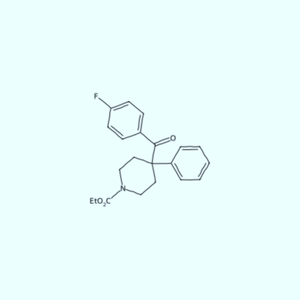 CCOC(=O)N1CCC(C(=O)c2ccc(F)cc2)(c2ccccc2)CC1